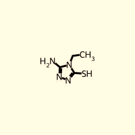 CCn1c(N)nnc1S